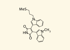 CSCCCn1cc(C2=C(c3cn(C)c4ccccc34)C(=O)NC2=O)c2ccccc21